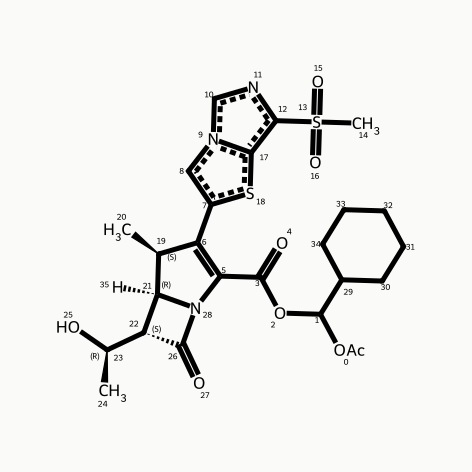 CC(=O)OC(OC(=O)C1=C(c2cn3cnc(S(C)(=O)=O)c3s2)[C@H](C)[C@@H]2[C@@H]([C@@H](C)O)C(=O)N12)C1CCCCC1